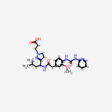 COc1cc(CC(=O)NC(CC(C)C)C2=NN(CCC(=O)O)CC2)ccc1NC(=O)Nc1ccccn1